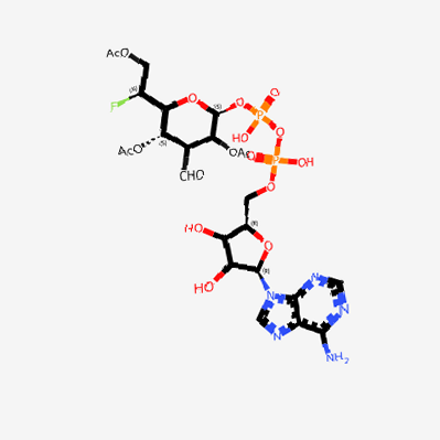 CC(=O)OC[C@H](F)C1O[C@@H](OP(=O)(O)OP(=O)(O)OC[C@H]2O[C@@H](n3cnc4c(N)ncnc43)C(O)C2O)C(OC(C)=O)C(C=O)[C@@H]1OC(C)=O